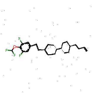 C=CCC[C@H]1CC[C@H]([C@H]2CC[C@H](CCc3cc(F)c(OC(F)F)c(F)c3)CC2)CC1